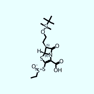 CC[S@+]([O-])SC1=C(C(=O)O)N2C(=O)[C@H](CCO[Si](C)(C)C(C)(C)C)[C@H]2S1